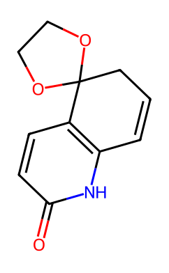 O=c1ccc2c([nH]1)C=CCC21OCCO1